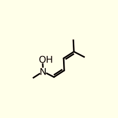 CC(C)=C/C=C\N(C)O